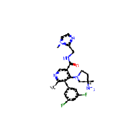 Cn1ccnc1CNC(=O)c1cnc(C#N)c(-c2cc(F)cc(F)c2)c1N1CC[C@](C)(N)C1